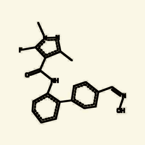 Cc1nn(C)c(F)c1C(=O)Nc1ccccc1-c1ccc(/C=N\O)cc1